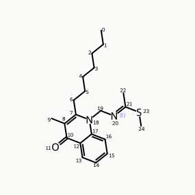 CCCCCCCc1c(C)c(=O)c2ccccc2n1C/N=C(\C)SC